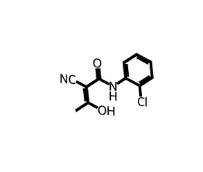 CC(O)=C(C#N)C(=O)Nc1ccccc1Cl